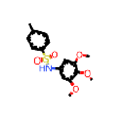 COc1cc(NS(=O)(=O)c2ccc(C)cc2)cc(OC)c1OC